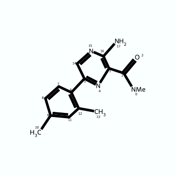 CNC(=O)c1nc(-c2ccc(C)cc2C)cnc1N